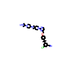 CC(C)(c1ccc(OCc2ccnc(N3CCC4(CC3)CN(C3CCN(C5CNC5)CC3)C4)n2)cc1)c1cc(Cl)cc(C#N)c1